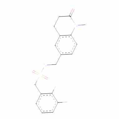 CCN1C(=O)CCc2cc(CNS(=O)(=O)Cc3cccc(F)c3F)ccc21